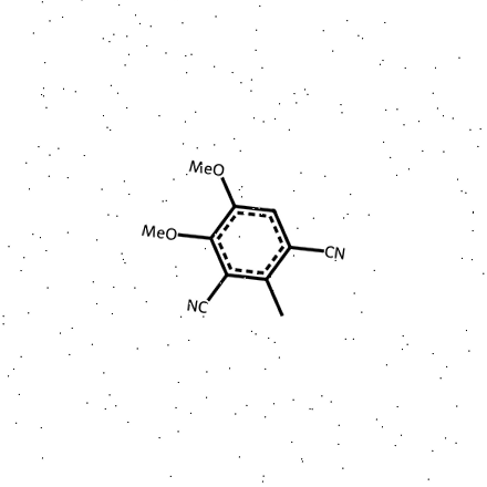 COc1cc(C#N)c(C)c(C#N)c1OC